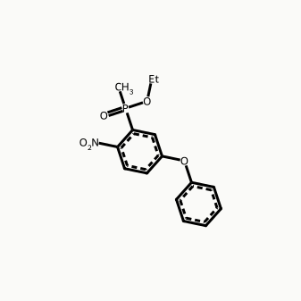 CCOP(C)(=O)c1cc(Oc2ccccc2)ccc1[N+](=O)[O-]